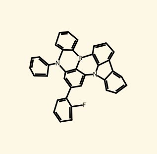 Fc1ccccc1-c1cc2c3c(c1)-n1c4ccccc4c4cccc(c41)B3c1ccccc1N2c1ccccc1